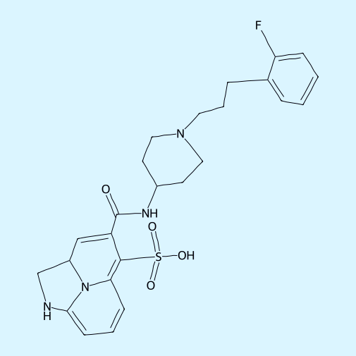 O=C(NC1CCN(CCCc2ccccc2F)CC1)C1=CC2CNC3=CC=CC(=C1S(=O)(=O)O)N32